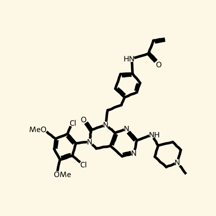 C=CC(=O)Nc1ccc(CCN2C(=O)N(c3c(Cl)c(OC)cc(OC)c3Cl)Cc3cnc(NC4CCN(C)CC4)nc32)cc1